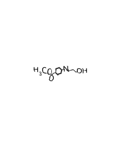 CCOC(=O)c1ccc(N=CCCO)cc1